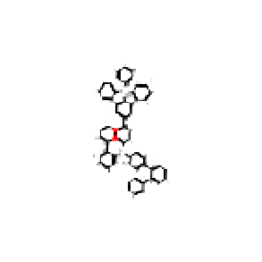 c1ccc(-c2ccccc2-c2ccc(N(c3ccc(-c4ccc([Si](c5ccccc5)(c5ccccc5)c5ccccc5)cc4)cc3)c3ccccc3-c3ccccc3)cc2)cc1